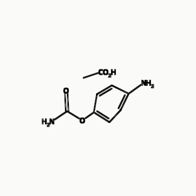 CC(=O)O.NC(=O)Oc1ccc(N)cc1